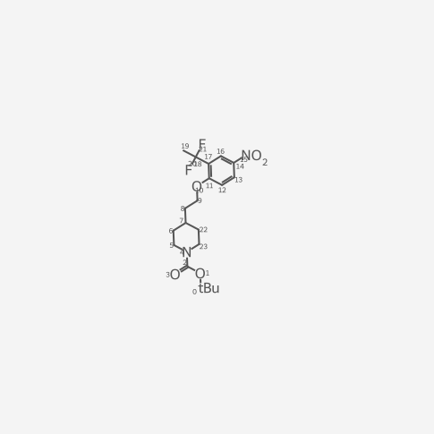 CC(C)(C)OC(=O)N1CCC(CCOc2ccc([N+](=O)[O-])cc2C(C)(F)F)CC1